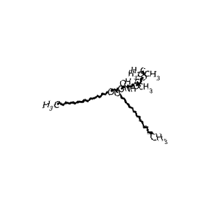 CCCCCCCCCCCCCCCCCCOCC(COC(=O)NCCCOC(C)(C)CCOC(C)(C)C)OCCCCCCCCCCCCCCCCCC